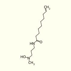 C=CCCCCCCCC(=O)NCCCN(C)O